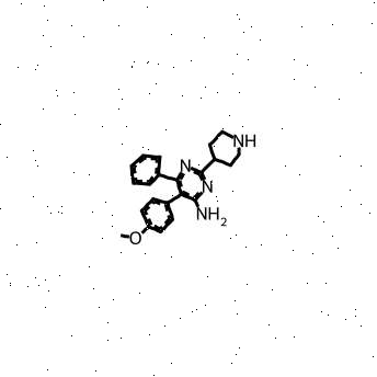 COc1ccc(-c2c(N)nc(C3CCNCC3)nc2-c2ccccc2)cc1